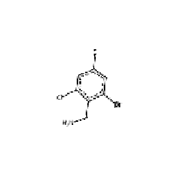 NCc1c(Cl)cc(Cl)cc1Br